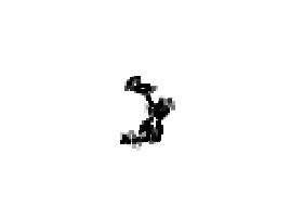 Cn1ccc(-c2cnc(N)c3c(C#Cc4cc5ncn(C)c5cc4F)nn([C@H]4CCN(C(=O)OC(C)(C)C)C4)c23)n1